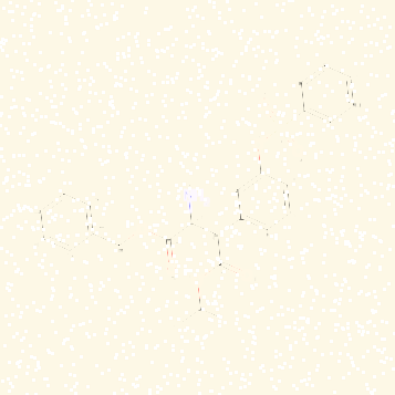 CC(C)OC(=O)C(c1cccc(OS(=O)(=O)c2ccccc2)c1)C(N)C(=O)OCc1ccccc1